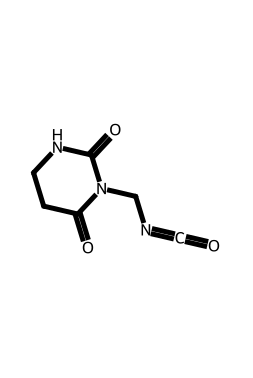 O=C=NCN1C(=O)CCNC1=O